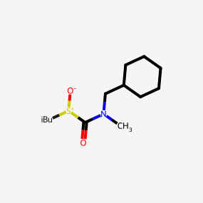 CCC(C)[S+]([O-])C(=O)N(C)CC1CCCCC1